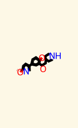 COc1ccc(-c2ccc3c(c2)C(=O)CC2(CCNCC2)O3)cn1